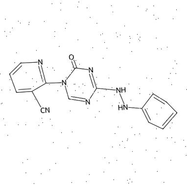 N#Cc1cccnc1-n1cnc(NNc2ccccc2)nc1=O